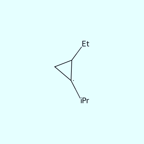 CCC1C[C]1C(C)C